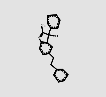 NC1=Nc2ccc(CCc3ccccc3)cc2C1(O)c1ccccc1